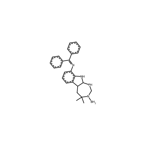 BN1CPC2Nc3c(N=C(c4ccccc4)c4ccccc4)cccc3C2CC1(C)C